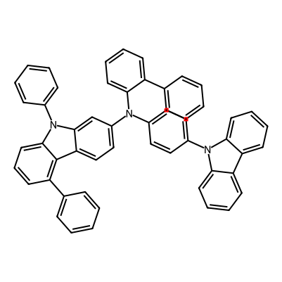 c1ccc(-c2ccccc2N(c2ccc(-n3c4ccccc4c4ccccc43)cc2)c2ccc3c4c(-c5ccccc5)cccc4n(-c4ccccc4)c3c2)cc1